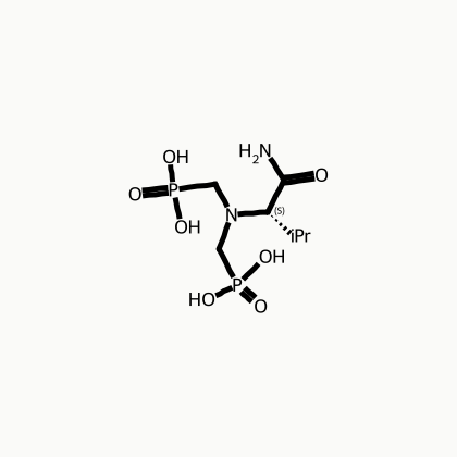 CC(C)[C@@H](C(N)=O)N(CP(=O)(O)O)CP(=O)(O)O